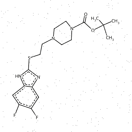 CC(C)(C)OC(=O)N1CCN(CCSc2nc3cc(F)c(F)cc3[nH]2)CC1